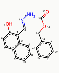 NN=Cc1c(O)ccc2ccccc12.O=COCc1ccccc1